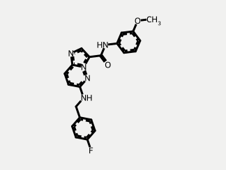 COc1cccc(NC(=O)c2cnc3ccc(NCc4ccc(F)cc4)nn23)c1